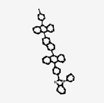 Cc1ccc(-c2c3ccccc3c(-c3ccc4cc(-c5c6ccccc6c(-c6ccc(-c7nc8ccccc8n7-c7ccccc7)cc6)c6ccccc56)ccc4c3)c3ccccc23)cc1